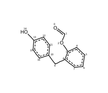 O=COc1ccccc1Cc1ccc(O)cc1